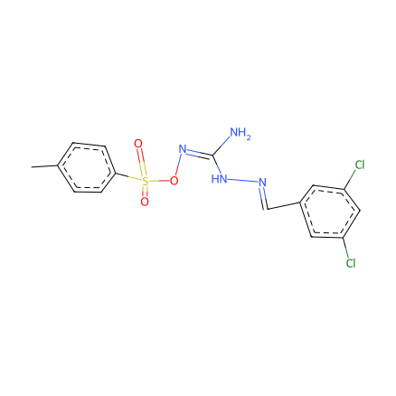 Cc1ccc(S(=O)(=O)ON=C(N)NN=Cc2cc(Cl)cc(Cl)c2)cc1